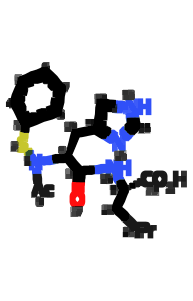 CC(=O)N(Sc1ccccc1)[C@@H](Cc1c[nH]cn1)C(=O)N[C@@H](CC(C)C)C(=O)O